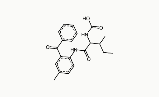 CCC(C)C(NC(=O)O)C(=O)Nc1ccc(C)cc1C(=O)c1ccccc1